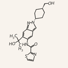 CC(C)(O)c1cc2nn([C@H]3CC[C@H](CO)CC3)cc2cc1NC(=O)c1nccs1